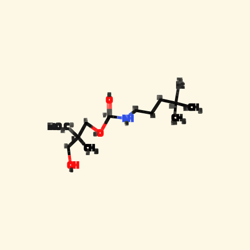 CCOC(=O)C(C)(CO)COC(=O)NCCCC(C)(C)CC